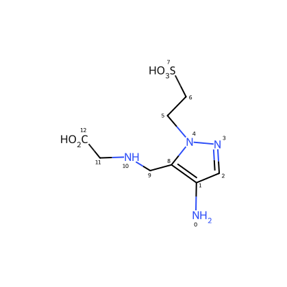 Nc1cnn(CCS(=O)(=O)O)c1CNCC(=O)O